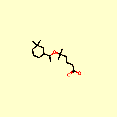 CC(OC(C)(C)CCCC(=O)O)C1CCCC(C)(C)C1